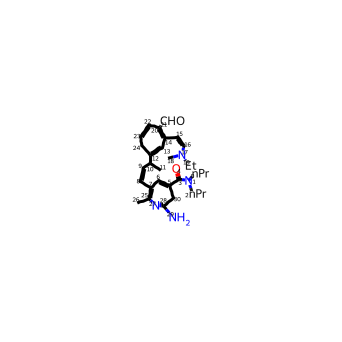 CCCN(CCC)C(=O)C1=CC(/C=C\C(C)C2=CC(/C=C\N(C)CC)=C(C=O)C=CC2)=C(C)N=C(N)C1